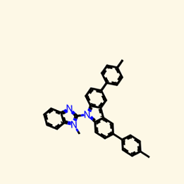 Cc1ccc(-c2ccc3c(c2)c2cc(-c4ccc(C)cc4)ccc2n3-c2nc3ccccc3n2C)cc1